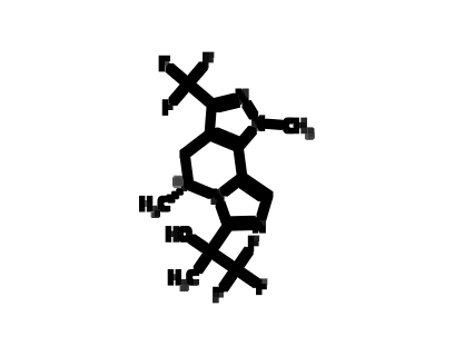 C[C@@H]1Cc2c(C(F)(F)F)nn(C)c2-c2cnc(C(C)(O)C(F)(F)F)n21